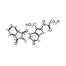 O=C(O)C(=O)Nc1sc2c(c1C(=O)O)C[C@@H](CN1C(=O)c3ccccc3C1=O)NC2